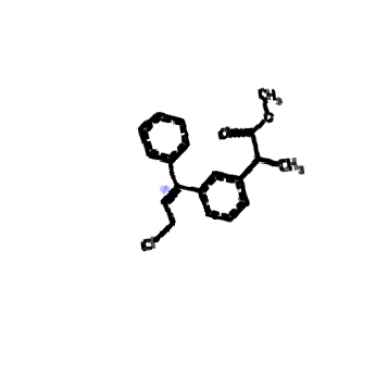 COC(=O)C(C)c1cccc(/C(=C\CCl)c2ccccc2)c1